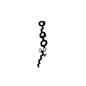 CCCCCC[C@H](F)C(=O)OC1CCC(c2ccc(CCC3CC[CH]CC3)cc2)CC1